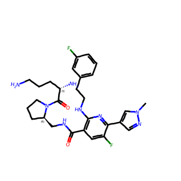 Cn1cc(-c2nc(NCCc3cccc(F)c3)c(C(=O)NC[C@H]3CCCN3C(=O)[C@@H](N)CCCN)cc2F)cn1